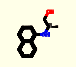 C[C@@H](CO)Nc1cccc2ccccc12